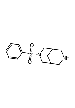 O=S(=O)(c1ccccc1)N1CC2CNCC(C2)C1